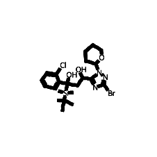 CC(C)(C)[Si](C)(C)C(O)(CC(O)c1nc(Br)nn1C1CCCCO1)c1ccccc1Cl